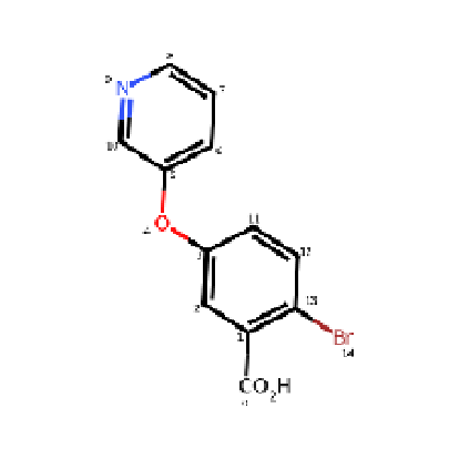 O=C(O)c1cc(Oc2cccnc2)ccc1Br